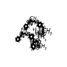 Cc1oc(-c2ccccc2)nc1CCOc1ccc(CC(C)(C)C(=O)NS(C)(=O)=O)cc1.Cc1oc(-c2ccccc2)nc1CCOc1ccc(CC(F)(C(=O)NS(C)(=O)=O)c2ccccc2)cc1